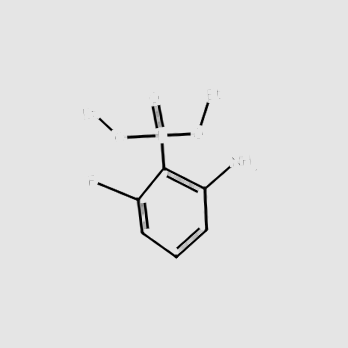 CCOP(=O)(OCC)c1c(N)cccc1F